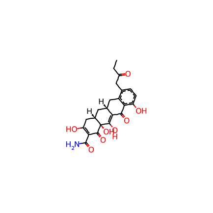 CCC(=O)Cc1ccc(O)c2c1C[C@H]1C[C@H]3CC(O)=C(C(N)=O)C(=O)[C@@]3(O)C(O)=C1C2=O